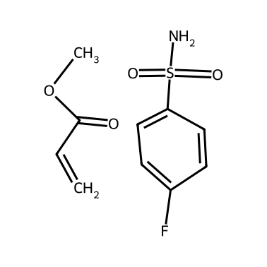 C=CC(=O)OC.NS(=O)(=O)c1ccc(F)cc1